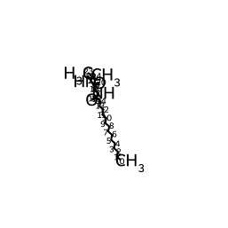 CCCCCCCCCCCCCCCC(=O)NCC(=O)NC(C)C